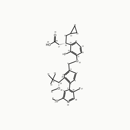 COc1cc(-c2ccc(COc3cccc([C@H](CC(=O)O)CC4CC4)c3F)cc2[C@H](OC)C(C)(C)C)c(F)cn1